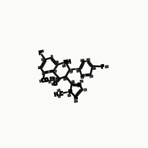 CCOC(=O)c1cc(F)cc2c1C(=O)C(c1ncnn1C)C(c1ccc(F)cc1)N2